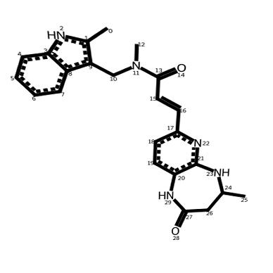 Cc1[nH]c2ccccc2c1CN(C)C(=O)/C=C/c1ccc2c(n1)NC(C)CC(=O)N2